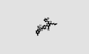 C=CCCC(=O)c1cc(C#N)c(N2CCC(C(=O)NS(=O)(=O)Cc3ccc(C)cc3)CC2)nc1CN1CCCC1=O